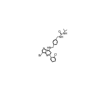 CC(C)NC(=O)NCc1ccc(CNc2cc(-c3ccccc3Cl)nc3c(Br)cnn23)cc1